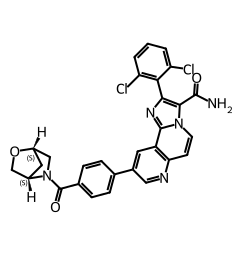 NC(=O)c1c(-c2c(Cl)cccc2Cl)nc2c3cc(-c4ccc(C(=O)N5C[C@@H]6C[C@H]5CO6)cc4)cnc3ccn12